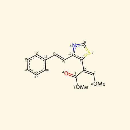 COC=C(C(=O)OC)c1scnc1C=Cc1ccccc1